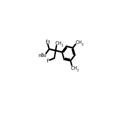 CCCCC(CC)C(C)(CF)c1cc(C)[c]c(C)c1